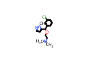 CN(C)CCOC(c1cccc(Cl)c1)c1ccnn1C